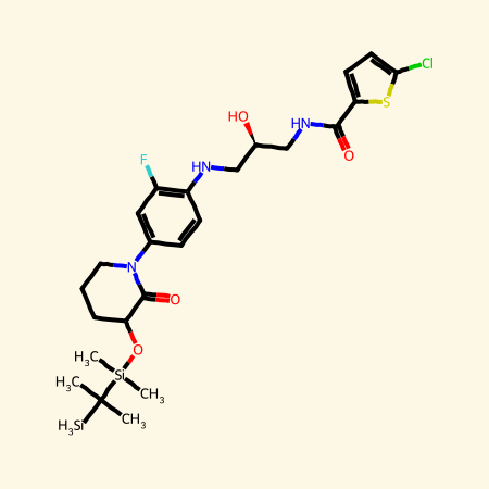 CC(C)([SiH3])[Si](C)(C)OC1CCCN(c2ccc(NC[C@@H](O)CNC(=O)c3ccc(Cl)s3)c(F)c2)C1=O